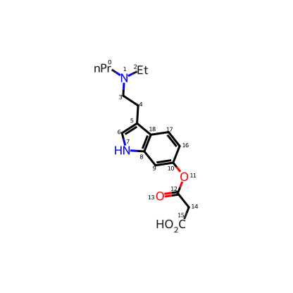 CCCN(CC)CCc1c[nH]c2cc(OC(=O)CC(=O)O)ccc12